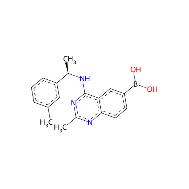 Cc1cccc([C@@H](C)Nc2nc(C)nc3ccc(B(O)O)cc23)c1